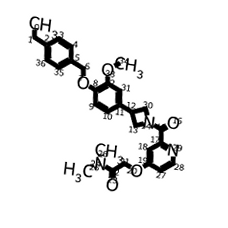 CCc1ccc(COc2ccc(C3CN(C(=O)c4cc(OCC(=O)N(C)C)ccn4)C3)cc2OC)cc1